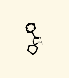 NC1(OC(=O)c2ccccc2)CCCCC1